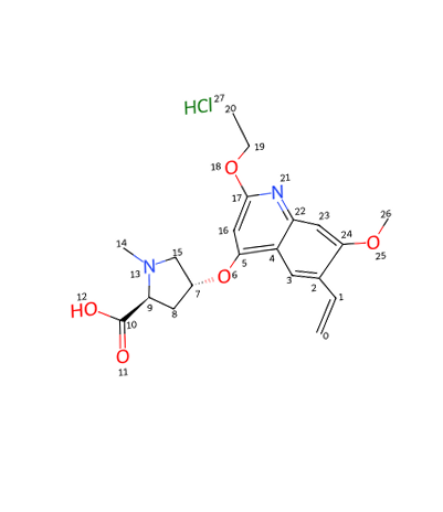 C=Cc1cc2c(O[C@@H]3C[C@@H](C(=O)O)N(C)C3)cc(OCC)nc2cc1OC.Cl